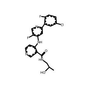 CC(O)CNC(=O)c1cnccc1Nc1cc(-c2cc(Cl)ccc2F)ncc1F